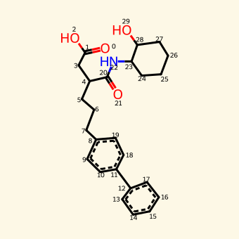 O=C(O)CC(CCCc1ccc(-c2ccccc2)cc1)C(=O)NC1CCCCC1O